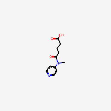 CN(C(=O)CCCC(=O)O)c1ccncc1